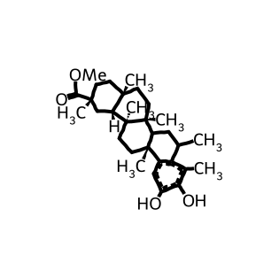 COC(=O)[C@]1(C)CC[C@]2(C)CC[C@]3(C)C4CC(C)c5c(cc(O)c(O)c5C)[C@]4(C)CC[C@@]3(C)[C@@H]2C1